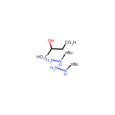 CCCCNN.CCCCNN.O=C(O)CC(O)C(=O)O